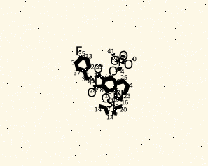 COP(=O)(COc1c2c(c(O[Si](C(C)C)(C(C)C)C(C)C)c3ncccc13)C(=O)N(Cc1ccc(F)cc1)C2=O)OC